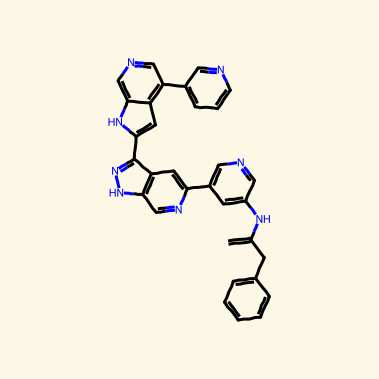 C=C(Cc1ccccc1)Nc1cncc(-c2cc3c(-c4cc5c(-c6cccnc6)cncc5[nH]4)n[nH]c3cn2)c1